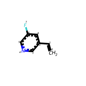 C=Cc1cncc(F)c1